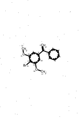 C=C(c1ccccc1)c1cc(OC)c(Br)c(OC)c1